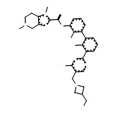 COc1nc(-c2cccc(-c3cccc(NC(=O)c4nc5c(n4C)CCN(C)C5)c3Cl)c2Cl)ncc1CN1CC(CO)C1